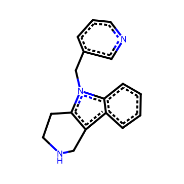 c1cncc(Cn2c3c(c4ccccc42)CNCC3)c1